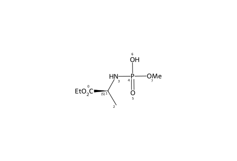 CCOC(=O)[C@H](C)NP(=O)(O)OC